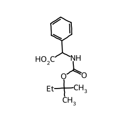 CCC(C)(C)OC(=O)NC(C(=O)O)c1ccccc1